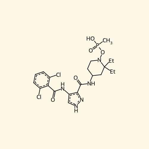 CCC1(CC)CC(NC(=O)c2n[nH]cc2NC(=O)c2c(Cl)cccc2Cl)CCN1OP(C)(=O)O